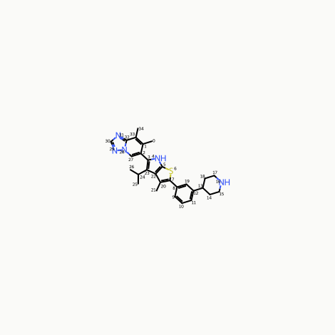 Cc1c(-c2[nH]c3sc(-c4cccc(C5CCNCC5)c4)c(C)c3c2C(C)C)cn2ncnc2c1C